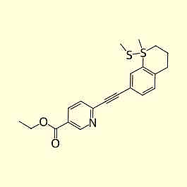 CCOC(=O)c1ccc(C#Cc2ccc3c(c2)S(C)(SC)CCC3)nc1